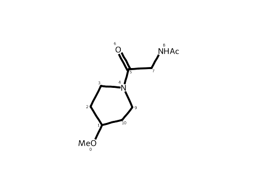 COC1CCN(C(=O)CNC(C)=O)CC1